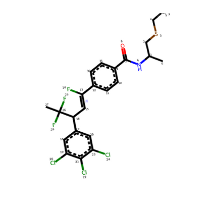 CC(CSCC(F)(F)F)NC(=O)c1ccc(/C(F)=C/C(c2cc(Cl)c(Cl)c(Cl)c2)C(C)(F)F)cc1